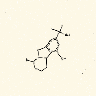 CCCCC(C)(C)c1cc(O)c2c(c1)OC1C(I)CCCC21